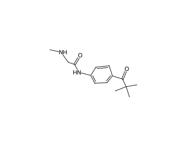 CNCC(=O)Nc1ccc(C(=O)C(C)(C)C)cc1